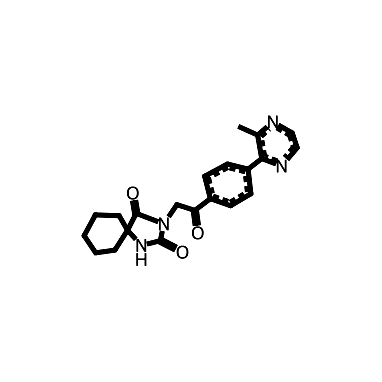 Cc1nccnc1-c1ccc(C(=O)CN2C(=O)NC3(CCCCC3)C2=O)cc1